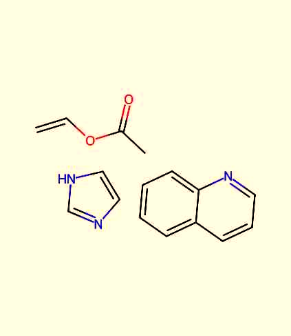 C=COC(C)=O.c1c[nH]cn1.c1ccc2ncccc2c1